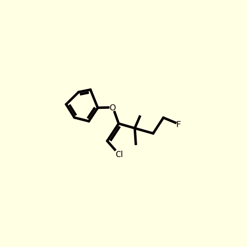 CC(C)(CCF)C(=CCl)Oc1ccccc1